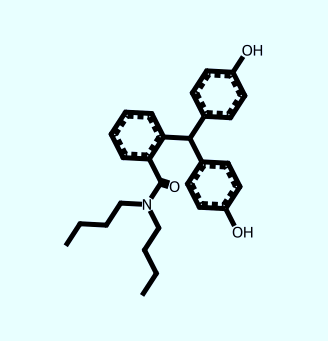 CCCCN(CCCC)C(=O)c1ccccc1C(c1ccc(O)cc1)c1ccc(O)cc1